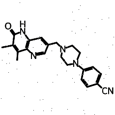 Cc1c(C)c2ncc(CN3CCN(c4ccc(C#N)cc4)CC3)cc2[nH]c1=O